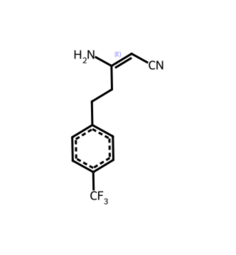 N#C/C=C(/N)CCc1ccc(C(F)(F)F)cc1